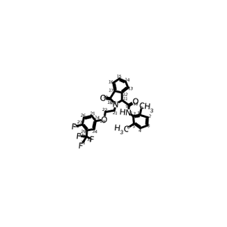 Cc1cccc(C)c1NC(=O)C1c2ccccc2C(=O)N1CCOc1ccc(F)c(C(F)(F)F)c1